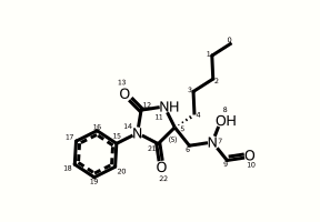 CCCCC[C@@]1(CN(O)C=O)NC(=O)N(c2ccccc2)C1=O